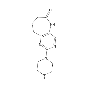 O=C1CCCc2nc(N3CCNCC3)ncc2N1